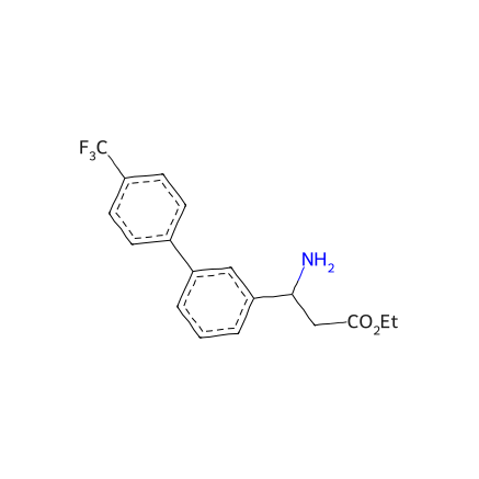 CCOC(=O)CC(N)c1cccc(-c2ccc(C(F)(F)F)cc2)c1